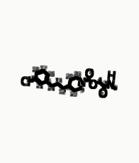 CNC(=O)COC(=O)N1CCC(CCCc2cccc(Cl)c2)CC1